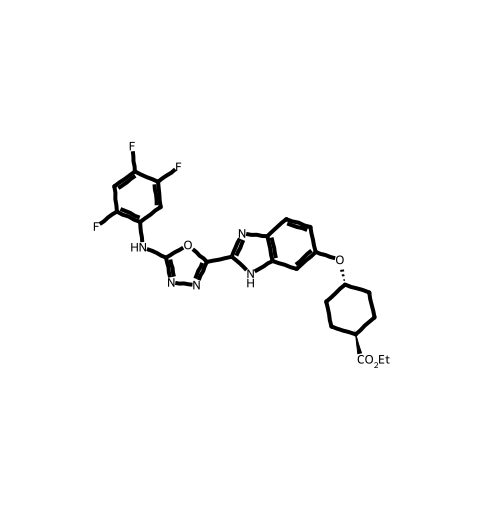 CCOC(=O)[C@H]1CC[C@H](Oc2ccc3nc(-c4nnc(Nc5cc(F)c(F)cc5F)o4)[nH]c3c2)CC1